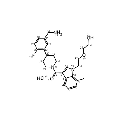 Cc1cccc2c(C(=O)N3CCC(c4cc(CN)ccc4F)CC3)cn(CCOCCO)c12.Cl